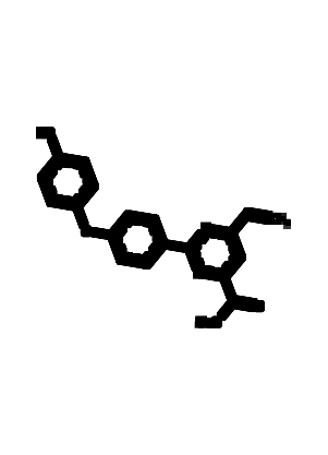 C=Cc1cc(C(=O)OC)nc(-c2ccc(Oc3ccc(O)cc3)cc2)n1